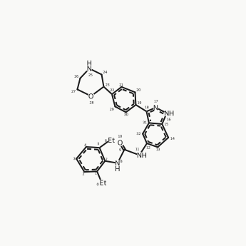 CCc1cccc(CC)c1NC(=O)Nc1ccc2[nH]nc(-c3ccc(C4CNCCO4)cc3)c2c1